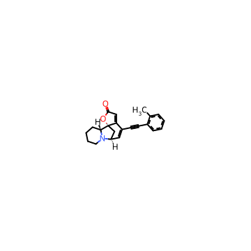 Cc1ccccc1C#CC1=C[C@@H]2C[C@@]3(OC(=O)C=C13)[C@H]1CCCCN21